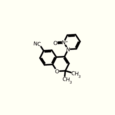 CC1(C)C=C(n2cccc[n+]2=O)c2cc(C#N)ccc2O1